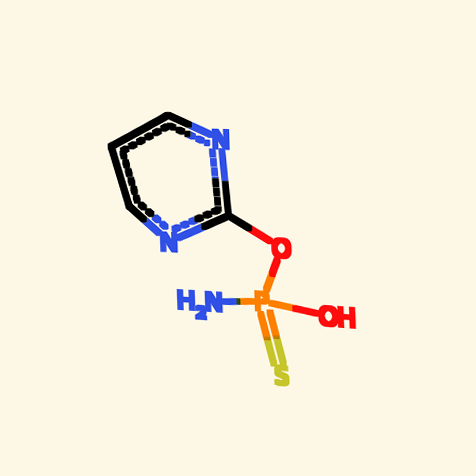 NP(O)(=S)Oc1ncccn1